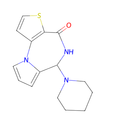 O=C1NC(N2CCCCC2)c2cccn2-c2ccsc21